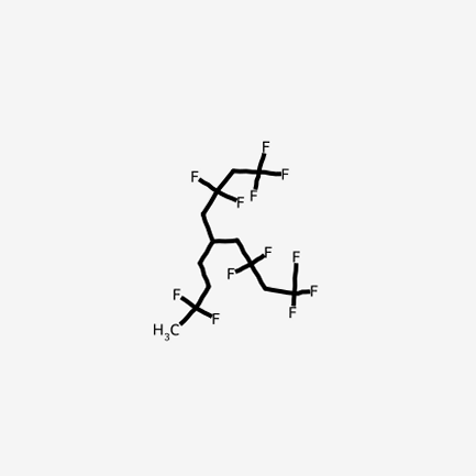 CC(F)(F)CCC(CC(F)(F)CC(F)(F)F)CC(F)(F)CC(F)(F)F